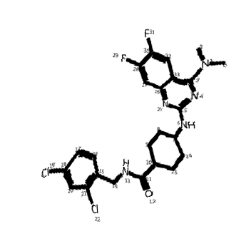 CN(C)c1nc(NC2CCC(C(=O)NCc3ccc(Cl)cc3Cl)CC2)nc2cc(F)c(F)cc12